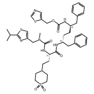 CC(C)c1nc(CN(C)C(=O)N[C@@H](CCN2CCS(=O)(=O)CC2)C(=O)N[C@H](CC[C@H](Cc2ccccc2)NC(=O)OCc2cncs2)Cc2ccccc2)cs1